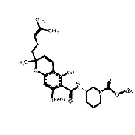 CCCCCc1cc2c(c(O)c1C(=O)N[C@H]1CCCN(C(=O)OC(C)(C)C)C1)C=CC(C)(CCC=C(C)C)O2